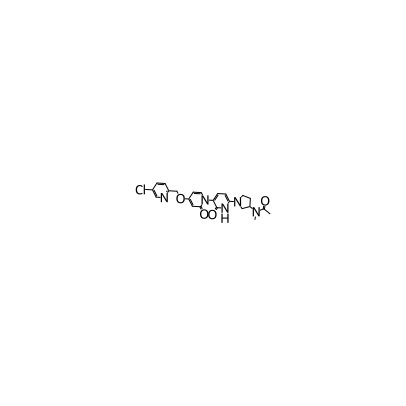 CC(=O)N(C)C1CCN(c2ccc(-n3ccc(OCc4ccc(Cl)cn4)cc3=O)c(=O)[nH]2)C1